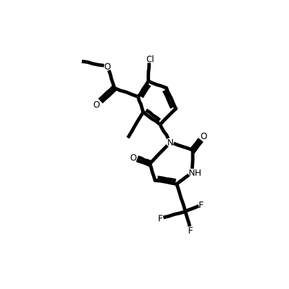 COC(=O)c1c(Cl)ccc(-n2c(=O)cc(C(F)(F)F)[nH]c2=O)c1C